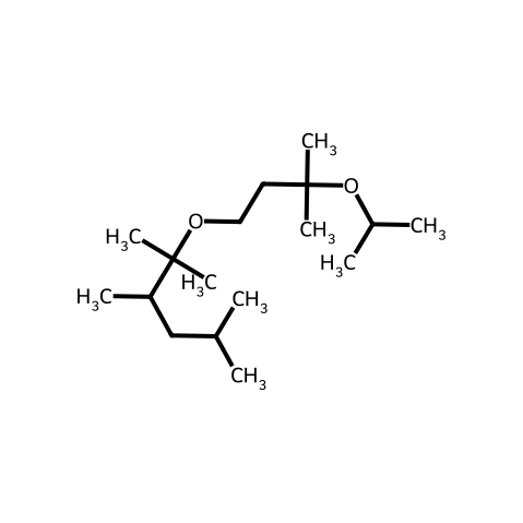 CC(C)CC(C)C(C)(C)OCCC(C)(C)OC(C)C